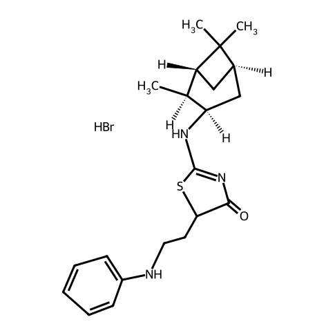 Br.C[C@H]1[C@H]2C[C@H](C[C@H]1NC1=NC(=O)C(CCNc3ccccc3)S1)C2(C)C